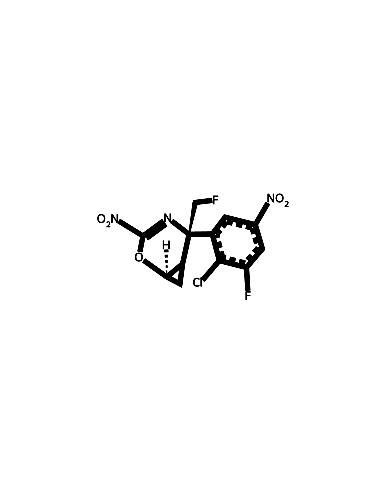 O=[N+]([O-])C1=N[C@](CF)(c2cc([N+](=O)[O-])cc(F)c2Cl)C2C[C@H]2O1